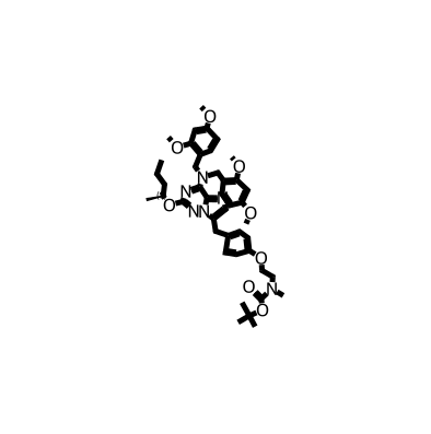 CCC[C@H](C)Oc1nc(N(Cc2ccc(OC)cc2OC)Cc2ccc(OC)cc2OC)c2ncc(Cc3ccc(OCCN(C)C(=O)OC(C)(C)C)cc3)n2n1